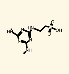 CNc1nc(NC)nc(NCCS(=O)(=O)O)n1